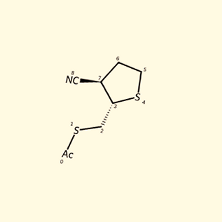 CC(=O)SC[C@H]1SCC[C@@H]1C#N